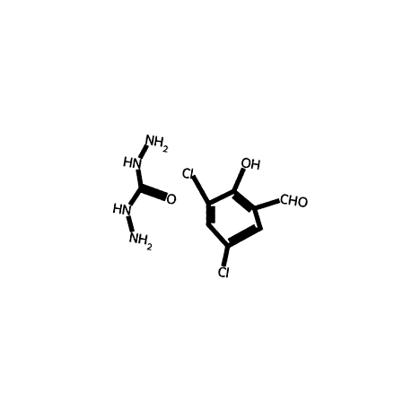 NNC(=O)NN.O=Cc1cc(Cl)cc(Cl)c1O